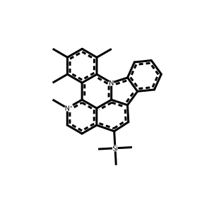 Cc1cc(C)c2c(c1C)c1c3c(cc[n+]1C)c([Si](C)(C)C)cc1c4ccccc4n2c13